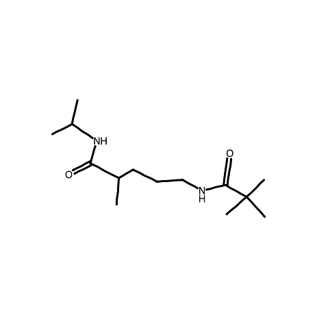 CC(C)NC(=O)C(C)CCCNC(=O)C(C)(C)C